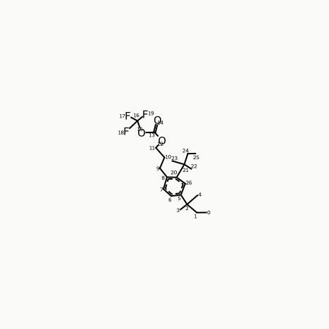 CCC(C)(C)c1ccc(CCCOC(=O)OC(F)(F)F)c(C(C)(C)CC)c1